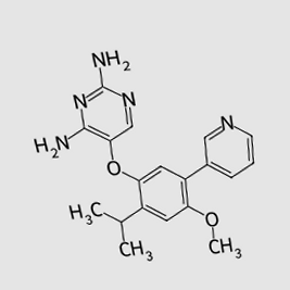 COc1cc(C(C)C)c(Oc2cnc(N)nc2N)cc1-c1cccnc1